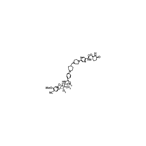 COc1cc(OC2(C)CC(C)(NC(=O)c3ccc(N4CCC(CN5CCN(c6cnc(C(=O)N[C@H]7CCC(=O)NC7=O)cn6)CC5)CC4)cc3)C2(C)C)ccc1C#N